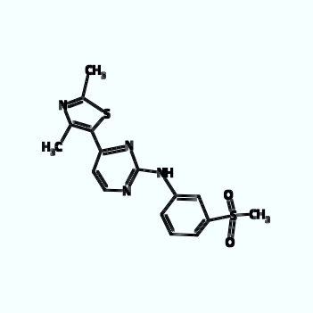 Cc1nc(C)c(-c2ccnc(Nc3cccc(S(C)(=O)=O)c3)n2)s1